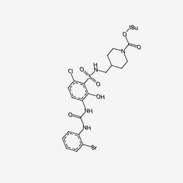 CC(C)(C)OC(=O)N1CCC(CNS(=O)(=O)c2c(Cl)ccc(NC(=O)Nc3ccccc3Br)c2O)CC1